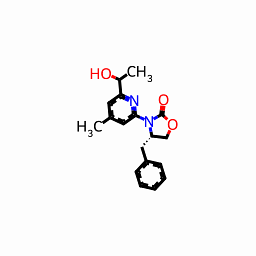 Cc1cc(C(C)O)nc(N2C(=O)OC[C@@H]2Cc2ccccc2)c1